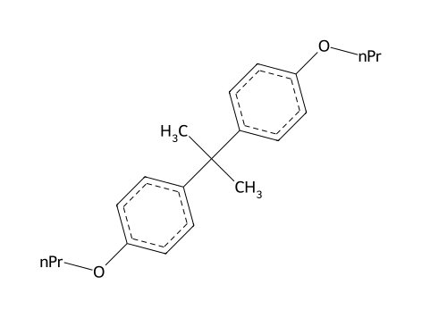 CCCOc1ccc(C(C)(C)c2ccc(OCCC)cc2)cc1